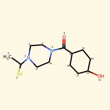 CC(S)N1CCN(C(=O)C2CCC(O)CC2)CC1